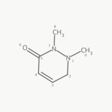 CN1CC=CC(=O)N1C